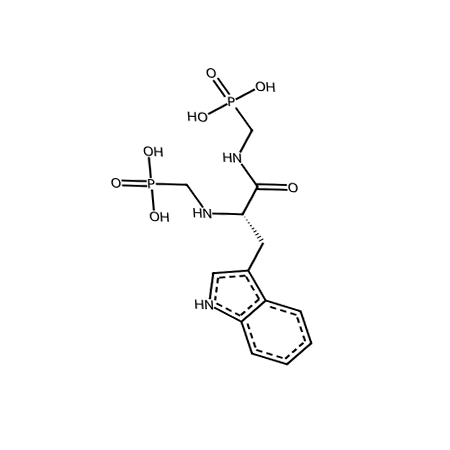 O=C(NCP(=O)(O)O)[C@H](Cc1c[nH]c2ccccc12)NCP(=O)(O)O